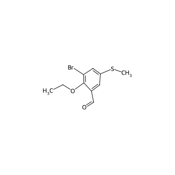 CCOc1c(Br)cc(SC)cc1C=O